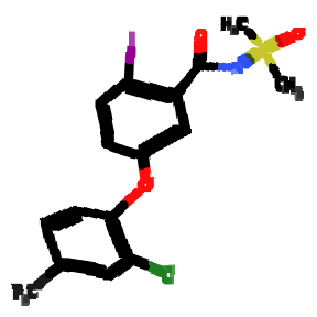 CS(C)(=O)=NC(=O)c1cc(Oc2ccc(C(F)(F)F)cc2Cl)ccc1I